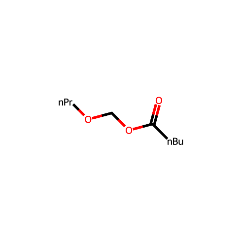 CCCCC(=O)OCOCCC